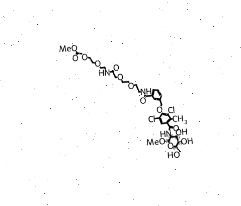 COC(=O)COCCOCCNC(=O)COCCOCCNC(=O)c1cccc(COc2c(Cl)cc(C(=O)N[C@H]3[C@@H](OC)O[C@H](CO)[C@@H](O)[C@@H]3O)c(C)c2Cl)c1